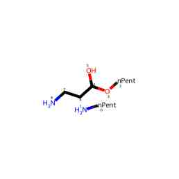 CCCCCN.CCCCCOC(O)CCN